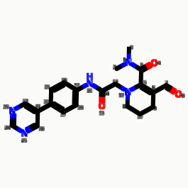 CN(C)C(=O)C1=C(C=O)CCCN1CC(=O)Nc1ccc(-c2cncnc2)cc1